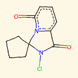 O=C1c2cccc(=O)n2C2(CCCC2)N1Cl